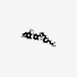 Cc1c(Oc2ccc(F)c(-c3ncc(Cc4cccc(CCC(=O)O)n4)[nH]3)c2)c(F)cc2[nH]ccc12